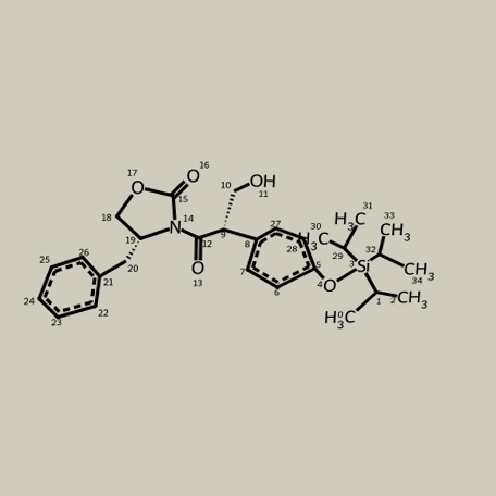 CC(C)[Si](Oc1ccc([C@@H](CO)C(=O)N2C(=O)OC[C@H]2Cc2ccccc2)cc1)(C(C)C)C(C)C